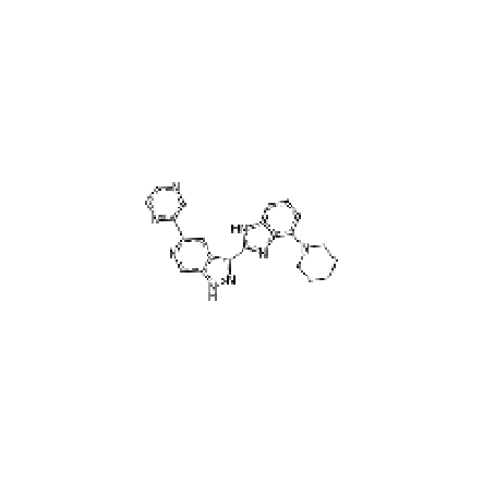 c1cc(N2CCCCC2)c2nc(-c3n[nH]c4cnc(-c5cnccn5)cc34)[nH]c2c1